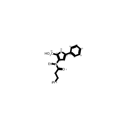 CCN(C(=O)CCC(C)C)c1cc(-c2ccccc2)sc1C(=O)O